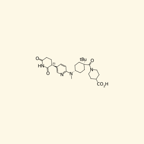 CN(c1ccc([C@@H]2CCC(=O)NC2=O)cn1)[C@H]1CC[C@@](C(=O)N2CCC(C(=O)O)CC2)(C(C)(C)C)CC1